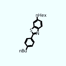 CCCCCCc1ccc2nc(-c3ccc(CCCC)cc3)sc2c1